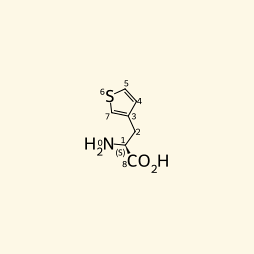 N[C@@H](Cc1ccsc1)C(=O)O